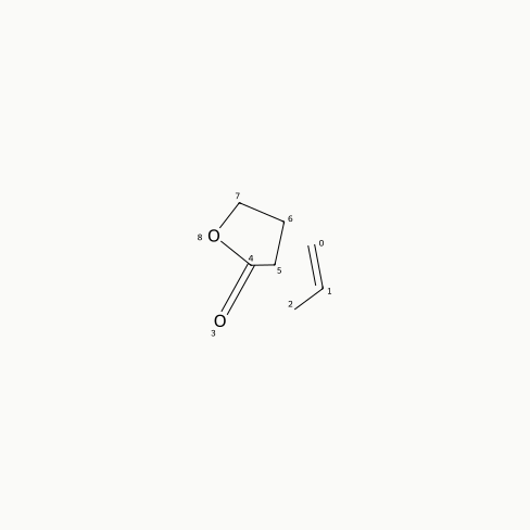 C=CC.O=C1CCCO1